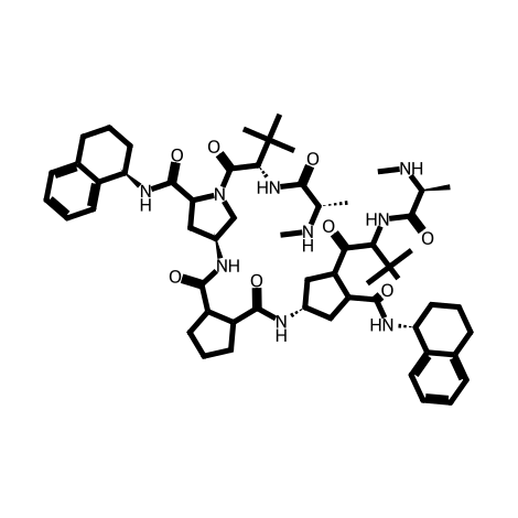 CN[C@@H](C)C(=O)NC(C(=O)C1C[C@@H](NC(=O)C2CCCC2C(=O)N[C@H]2CC(C(=O)N[C@@H]3CCCc4ccccc43)N(C(=O)[C@@H](NC(=O)[C@H](C)NC)C(C)(C)C)C2)CC1C(=O)N[C@@H]1CCCc2ccccc21)C(C)(C)C